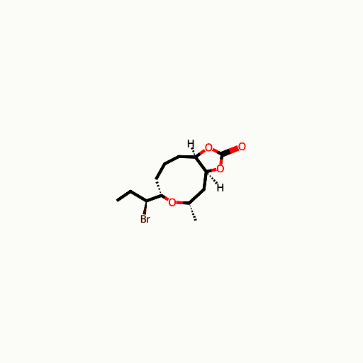 CC[C@H](Br)[C@@H]1CCC[C@H]2OC(=O)O[C@H]2C[C@H](C)O1